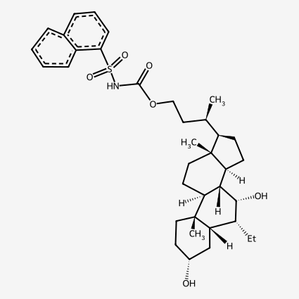 CC[C@H]1[C@@H](O)[C@@H]2[C@H](CC[C@]3(C)[C@@H]([C@H](C)CCOC(=O)NS(=O)(=O)c4cccc5ccccc45)CC[C@@H]23)[C@@]2(C)CC[C@@H](O)C[C@@H]12